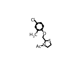 CC(=O)N1CCSC1COc1ccc(Cl)cc1C